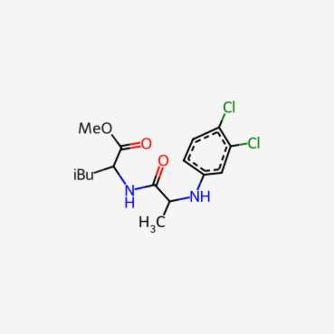 CCC(C)C(NC(=O)C(C)Nc1ccc(Cl)c(Cl)c1)C(=O)OC